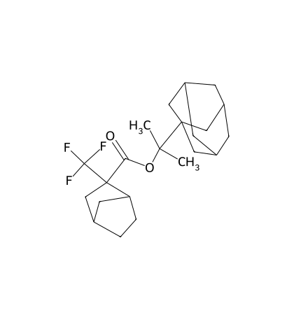 CC(C)(OC(=O)C1(C(F)(F)F)CC2CCC1C2)C12CC3CC(CC(C3)C1)C2